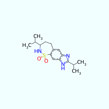 CC(C)c1nc2cc3c(cc2[nH]1)S(=O)(=O)NC(C(C)C)CC3